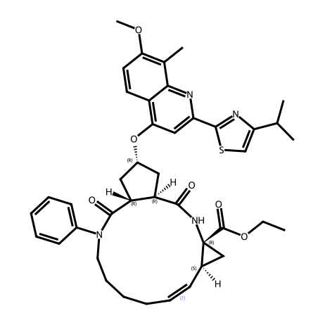 CCOC(=O)[C@@]12C[C@H]1/C=C\CCCCN(c1ccccc1)C(=O)[C@@H]1C[C@H](Oc3cc(-c4nc(C(C)C)cs4)nc4c(C)c(OC)ccc34)C[C@H]1C(=O)N2